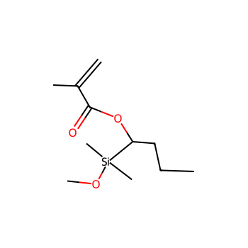 C=C(C)C(=O)OC(CCC)[Si](C)(C)OC